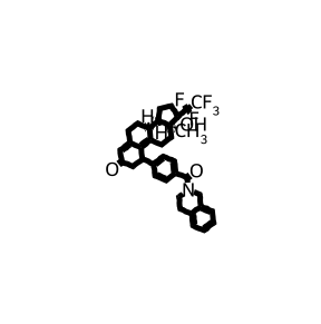 C[C@]12CCC3=C4C(=CC(=O)CC4c4ccc(C(=O)N5CCc6ccccc6C5)cc4)CC[C@H]3[C@@H]1CCC2(O)C(F)(F)C(F)(F)F